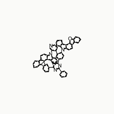 c1ccc(-c2nc(-c3ccccc3)nc(-c3ccc(-n4c5ccccc5c5c6oc7ccccc7c6ccc54)c(-c4ccncc4-n4c5ccccc5c5c6oc7ccccc7c6ccc54)c3)n2)cc1